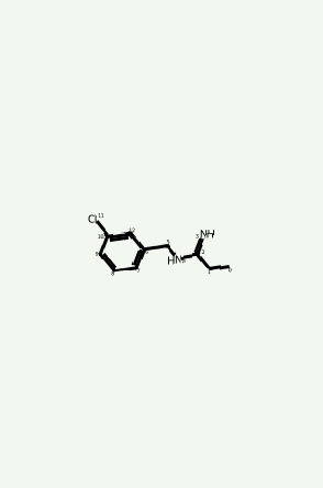 CCC(=N)NCc1cccc(Cl)c1